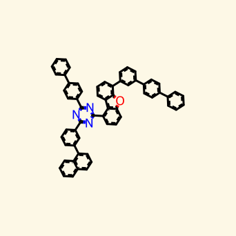 c1ccc(-c2ccc(-c3cccc(-c4cccc5c4oc4cccc(-c6nc(-c7ccc(-c8ccccc8)cc7)nc(-c7cccc(-c8cccc9ccccc89)c7)n6)c45)c3)cc2)cc1